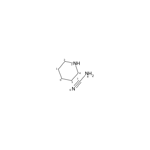 C1CCNCC1.N#CN